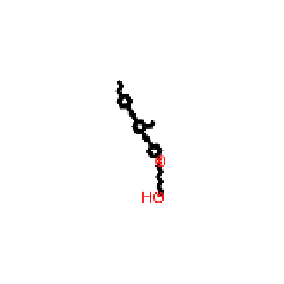 CCCc1ccc(C#Cc2ccc(C#Cc3ccc(OCCCCCCO)cc3)c(CC)c2)cc1